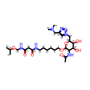 CC(=O)NC1C(OCCCCCCNC(=O)CC(=O)NCOC(C)C)OC(Cn2cc(CN(C)C)nn2)C(O)C1O